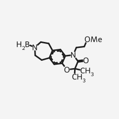 BN1CCc2cc3c(cc2CC1)N(CCOC)C(=O)C(C)(C)O3